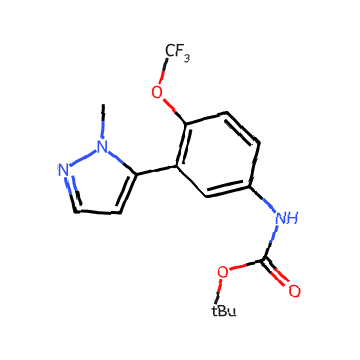 Cn1nccc1-c1cc(NC(=O)OC(C)(C)C)ccc1OC(F)(F)F